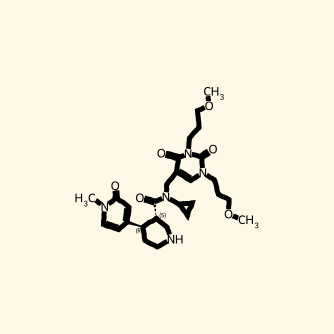 COCCCn1cc(CN(C(=O)[C@@H]2CNCC[C@H]2c2ccn(C)c(=O)c2)C2CC2)c(=O)n(CCCOC)c1=O